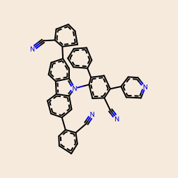 N#Cc1ccccc1-c1ccc2c3ccc(-c4ccccc4C#N)cc3n(-c3cc(C#N)c(-c4ccncc4)cc3-c3ccccc3)c2c1